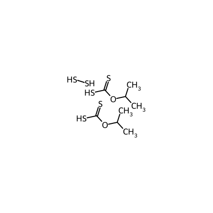 CC(C)OC(=S)S.CC(C)OC(=S)S.SS